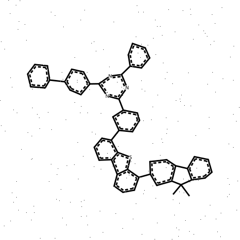 CC1(C)c2ccccc2-c2ccc(-c3cccc4c3sc3c(-c5cccc(-c6nc(-c7ccccc7)nc(-c7ccc(-c8ccccc8)cc7)n6)c5)cccc34)cc21